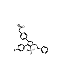 O=[SH](=O)Cc1ccc(-c2cn(CCc3ccccc3)c(C(F)(F)F)c2-c2ccc(F)cc2)cc1